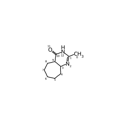 CC1=NC2CCCCCC2C(=O)N1